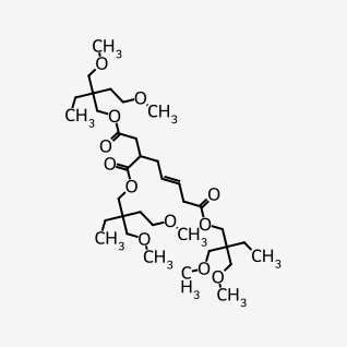 CCC(CCOC)(COC)COC(=O)CC(CC=CCC(=O)OCC(CC)(COC)COC)C(=O)OCC(CC)(CCOC)COC